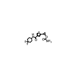 NC(=O)OC1CC1c1cc(C(=O)NC2CCC(F)(F)CC2)cs1